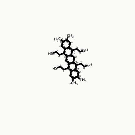 Cc1cc2c(CCS)c3cc4c(CCS)c5cc(C)c(C)cc5c(CCS)c4cc3c(CCS)c2cc1C